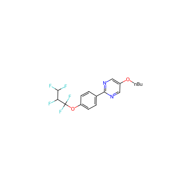 CCCCOc1cnc(-c2ccc(OC(F)(F)C(F)C(F)F)cc2)nc1